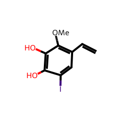 C=Cc1cc(I)c(O)c(O)c1OC